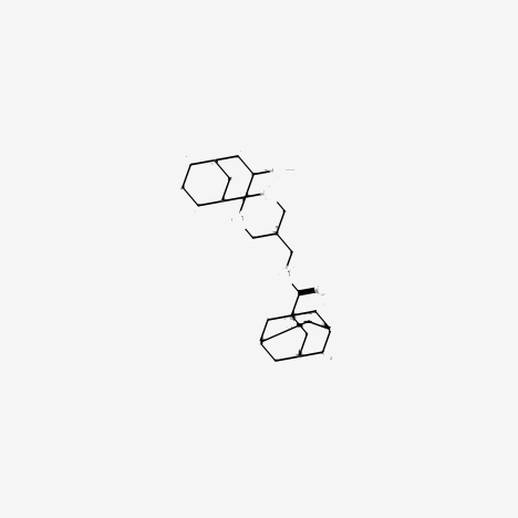 CC1CC2CCCC(C2)C12OCC(COC(=O)C13CC4CC(CC(C4)C1)C3)CO2